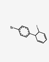 Brc1ccc(C2C=CC=CC2I)cc1